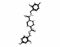 Cc1ccc(COC(=O)C2CCC(C(=O)OCc3ccc(C)cc3C)CC2)c(C)c1